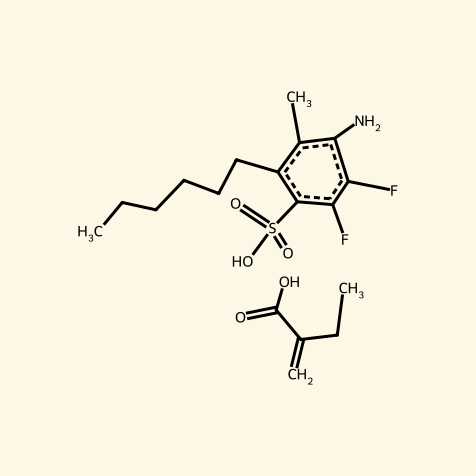 C=C(CC)C(=O)O.CCCCCCc1c(C)c(N)c(F)c(F)c1S(=O)(=O)O